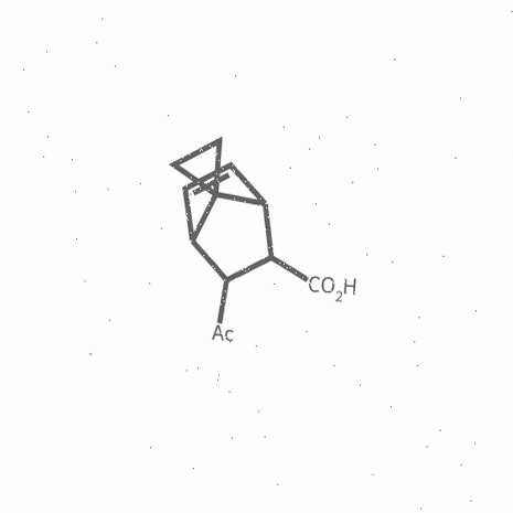 CC(=O)C1C(C(=O)O)C2C=CC1C21CC1